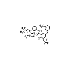 C[C@H]1CCCN(Cc2cc(C(=O)Nc3cccc(C4(c5nncn5C)CC(C)(C)C4)c3)c(=O)n(CC(F)(F)F)c2)C1